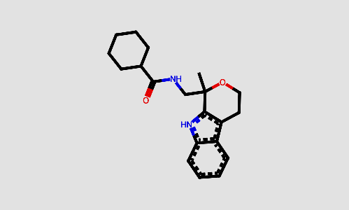 CC1(CNC(=O)C2CCCCC2)OCCc2c1[nH]c1ccccc21